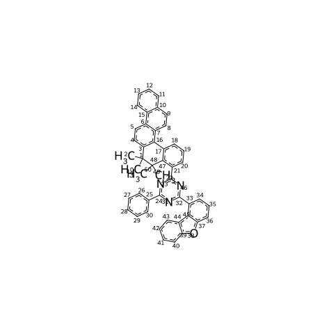 CC1(C)c2ccc3c(ccc4ccccc43)c2-c2cccc(-c3nc(-c4ccccc4)nc(-c4cccc5oc6ccccc6c45)n3)c2C1(C)C